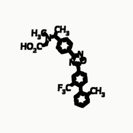 Cc1ccccc1-c1ccc(-c2nc(-c3ccc(C(C)N(C)CC(=O)O)cc3)no2)cc1C(F)(F)F